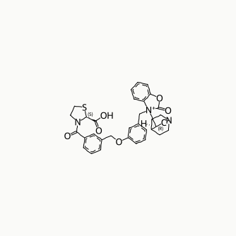 O=C(O)[C@@H]1SCCN1C(=O)c1cccc(COc2cccc(C[N+]3([C@H]4CN5CCC4CC5)C(=O)Oc4ccccc43)c2)c1